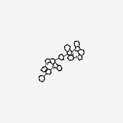 c1ccc(-c2ccc(-n3c4ccccc4c4c(-c5ccc(-c6cnc(-n7c8ccccc8c8ccc9ccn(-c%10ccccc%10)c9c87)c7ccccc67)cc5)cc5ccn(-c6ccccc6)c5c43)cc2)cc1